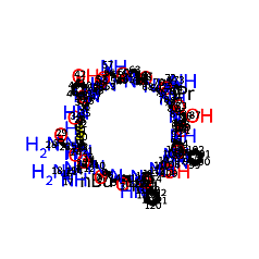 CCCC[C@H]1C(=O)N(C)[C@@H](CCCC)C(=O)N[C@@H](CCCNC(=N)N)C(=O)NC(C(=O)NCC(N)=O)CSCC(=O)N[C@@H](Cc2ccc(O)cc2)C(=O)NC(C)(C)C(=O)N[C@@H](CC(N)=O)C(=O)N2CCC[C@H]2C(=O)N[C@@H](Cc2c[nH]cn2)C(=O)N[C@@H](CC(C)C)C(=O)N2C[C@H](O)C[C@H]2C(=O)NC(Cc2c[nH]c3ccccc23)C(=O)N[C@@H](CO)C(=O)N[C@@H](Cc2c[nH]c3ccccc23)C(=O)N1C